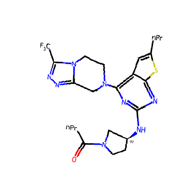 CCCC(=O)N1CC[C@H](Nc2nc(N3CCn4c(nnc4C(F)(F)F)C3)c3cc(CCC)sc3n2)C1